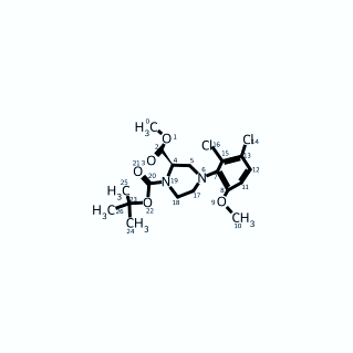 COC(=O)[C@H]1CN(c2c(OC)ccc(Cl)c2Cl)CCN1C(=O)OC(C)(C)C